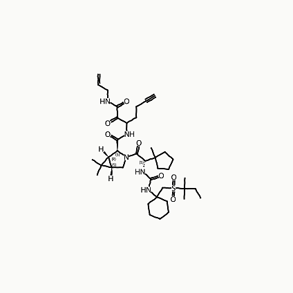 C#CCCC(NC(=O)[C@@H]1[C@@H]2[C@H](CN1C(=O)[C@@H](NC(=O)NC1(CS(=O)(=O)C(C)(C)CC)CCCCC1)C1(C)CCCC1)C2(C)C)C(=O)C(=O)NCC=C